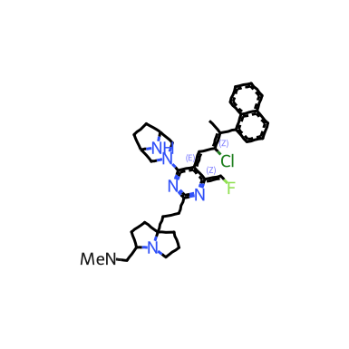 CNCC1CCC2(CCc3nc(N4CC5CCC(C4)N5)c(=C/C(Cl)=C(\C)c4cccc5ccccc45)/c(=C/F)n3)CCCN12